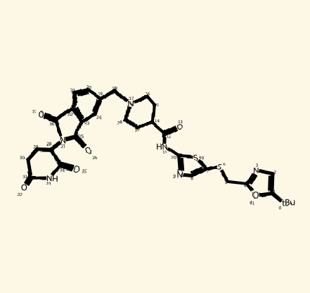 CC(C)(C)c1cnc(CSc2cnc(NC(=O)C3CCN(Cc4ccc5c(c4)C(=O)N(C4CCC(=O)NC4=O)C5=O)CC3)s2)o1